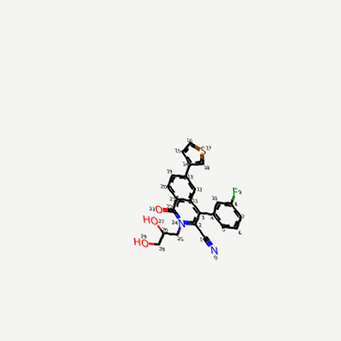 N#Cc1c(-c2cccc(F)c2)c2cc(-c3ccsc3)ccc2c(=O)n1CC(O)CO